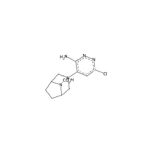 Nc1nnc(Cl)cc1N1CC2CCC(C1)N2C(=O)O